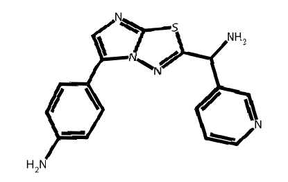 Nc1ccc(-c2cnc3sc(C(N)c4cccnc4)nn23)cc1